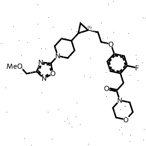 COCc1noc(N2CCC(C3C[C@H]3CCOc3ccc(CC(=O)N4CCOCC4)c(F)c3)CC2)n1